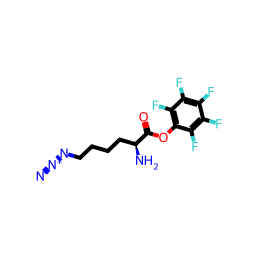 [N-]=[N+]=NCCCC[C@H](N)C(=O)Oc1c(F)c(F)c(F)c(F)c1F